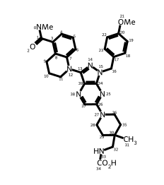 CNC(=O)c1cccc2c1CCCN2c1nn(Cc2ccc(OC)cc2)c2nc(N3CCC(C)(CNC(=O)O)CC3)cnc12